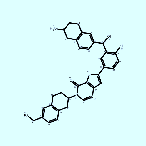 NC1CCc2cc(C(O)c3cc(-c4cc5ncn(C6CCc7cc(CO)ccc7C6)c(=O)c5s4)ccc3Cl)ccc2C1